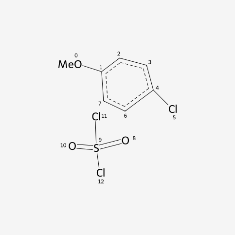 COc1ccc(Cl)cc1.O=S(=O)(Cl)Cl